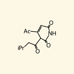 CC(=O)C1=CC(=O)NC(=O)C1C(=O)CC(C)C